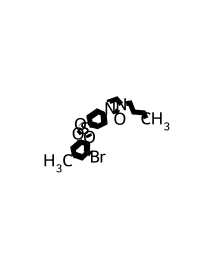 CCCCN1CCN(c2ccc(S(=O)(=O)Oc3cc(C)cc(Br)c3)cc2)C1=O